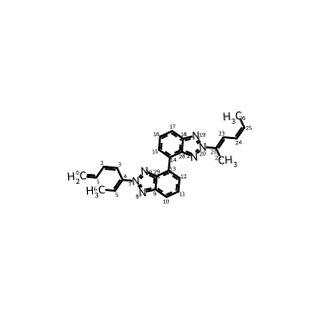 C=C/C=C\C(=C/C)n1nc2cccc(-c3cccc4nn(/C(C)=C/C=C\C)nc34)c2n1